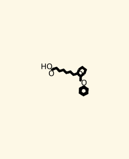 O=C(O)CCCCCCC1C2CCC(O2)C1COc1ccccc1